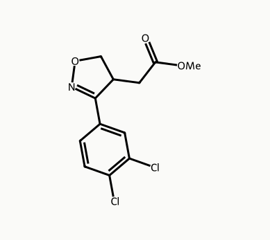 COC(=O)CC1CON=C1c1ccc(Cl)c(Cl)c1